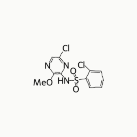 COc1ncc(Cl)nc1NS(=O)(=O)c1ccccc1Cl